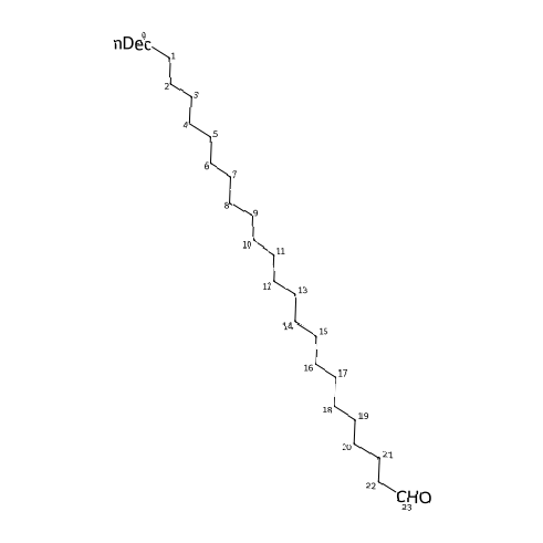 CCCCCCCCCCCCCCCCCCCCCCCCCCCCCCCC[C+]=O